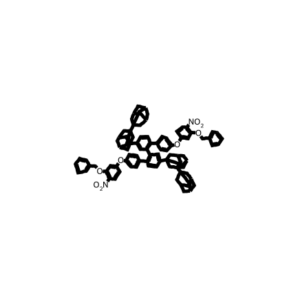 O=[N+]([O-])c1ccc(Oc2ccc(-c3ccc(C45CC6CC(C4)CC(C47CC8CC(CC(C8)C4)C7)(C6)C5)cc3-c3cc(C45CC6CC(C4)CC(C47CC8CC(CC(C8)C4)C7)(C6)C5)ccc3-c3ccc(Oc4ccc([N+](=O)[O-])c(OCc5ccccc5)c4)cc3)cc2)cc1OCc1ccccc1